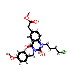 COC(=O)Cc1ccc2c(c1)c(=O)n(Cc1ccc(OC)cc1)c(=O)n2CCCCBr